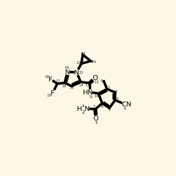 Cc1cc(C#N)cc(C(N)=O)c1NC(=O)c1cc(C(F)F)nn1C1CC1